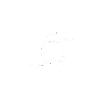 O=C(O)CN1CCCCN(CC(=O)O)CN(CC(=O)O)CCCN(CC(=O)O)CC1